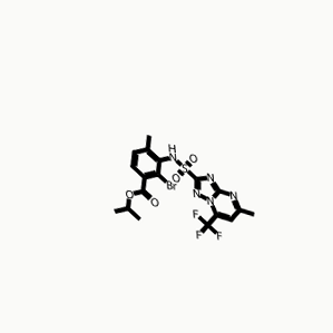 Cc1cc(C(F)(F)F)n2nc(S(=O)(=O)Nc3c(C)ccc(C(=O)OC(C)C)c3Br)nc2n1